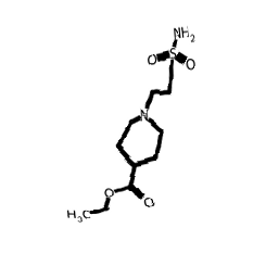 CCOC(=O)C1CCN(CCS(N)(=O)=O)CC1